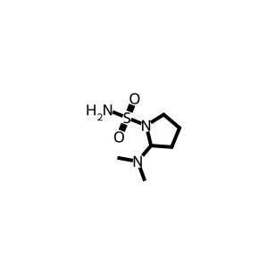 CN(C)C1CCCN1S(N)(=O)=O